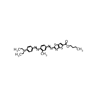 CCCCOC(=O)c1cc2sc(N=Nc3ccc(N=Nc4ccc(N(CC)CC)cc4)c(C)c3)nc2s1